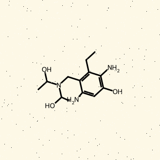 CCc1c(N)c(O)cc(N)c1CN(C(C)O)C(C)O